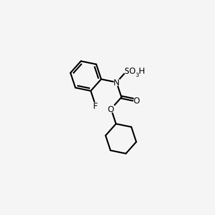 O=C(OC1CCCCC1)N(c1ccccc1F)S(=O)(=O)O